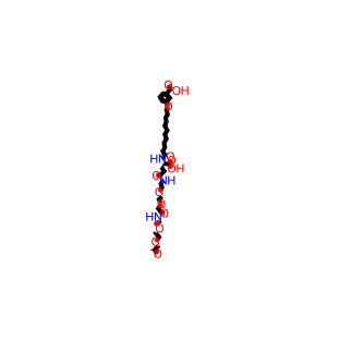 O=[C]COCCOCCNC(=O)COCCOCCNC(=O)CC[C@H](NC(=O)CCCCCCCCCCCOc1cccc(C(=O)O)c1)C(=O)O